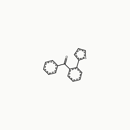 O=C(c1ccccc1)c1ccccc1-c1cccs1